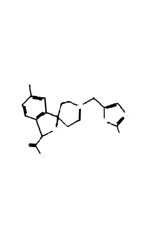 Cc1ncc(CN2CCC3(CC2)OC(C(N)=O)c2ccc(Cl)cc23)o1